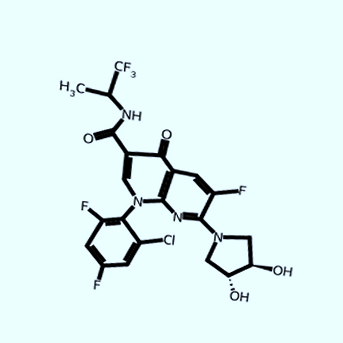 CC(NC(=O)c1cn(-c2c(F)cc(F)cc2Cl)c2nc(N3C[C@@H](O)[C@H](O)C3)c(F)cc2c1=O)C(F)(F)F